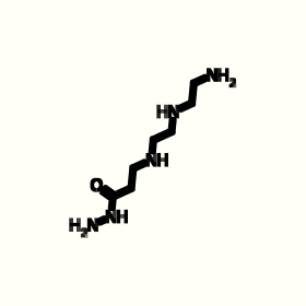 NCCNCCNCCC(=O)NN